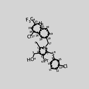 Cc1c(CO)c(C(C)C)c(Sc2cccc(Cl)c2)n1Cc1ccc2nc(C(F)(F)F)cc(Cl)c2c1